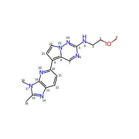 COCCNc1ncc2c(-c3ccc4nc(C)n(C)c4n3)ccn2n1